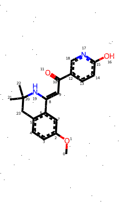 COc1ccc2c(c1)C(=CC(=O)c1ccc(O)nc1)NC(C)(C)C2